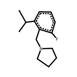 CC(C)c1cccc(F)c1CN1CCCC1